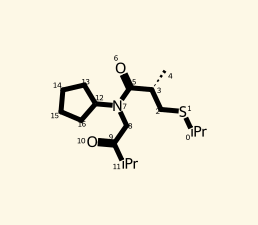 CC(C)SC[C@@H](C)C(=O)N(CC(=O)C(C)C)C1CCCC1